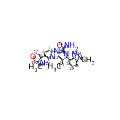 CCc1cc(Nc2ccc3c(n2)CN(C)C32CCOCC2)c(C(N)=O)nc1-c1cccc2c1ncn2C